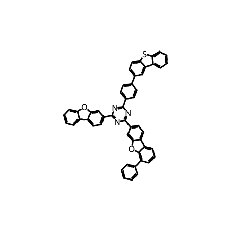 c1ccc(-c2cccc3c2oc2cc(-c4nc(-c5ccc(-c6ccc7sc8ccccc8c7c6)cc5)nc(-c5ccc6c(c5)oc5ccccc56)n4)ccc23)cc1